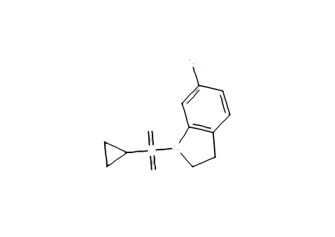 Nc1ccc2c(c1)N(S(=O)(=O)C1CC1)CC2